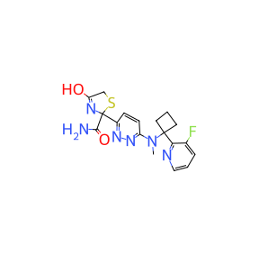 CN(c1ccc(C2(C(N)=O)N=C(O)CS2)nn1)C1(c2ncccc2F)CCC1